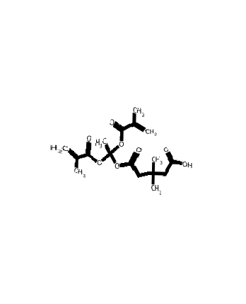 C=C(C)C(=O)OC(C)(OC(=O)CC(C)(C)CC(=O)O)OC(=O)C(=C)C